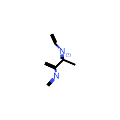 C=C/N=C(/C)C(=C)N=C